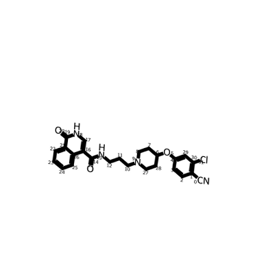 N#Cc1ccc(OC2CCN(CCCNC(=O)c3c[nH]c(=O)c4ccccc34)CC2)cc1Cl